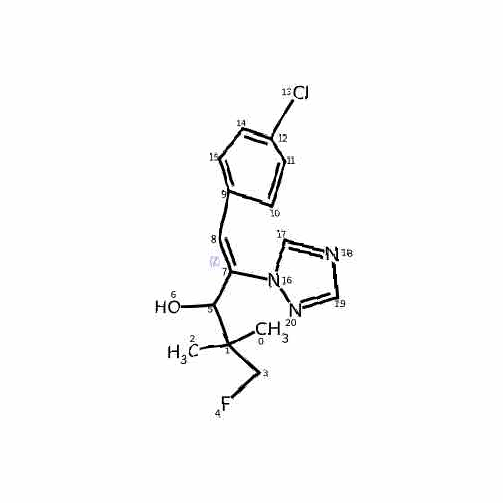 CC(C)(CF)C(O)/C(=C/c1ccc(Cl)cc1)n1cncn1